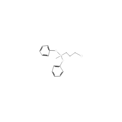 C[Si](CCCCl)(Oc1ccccc1)Oc1ccccc1